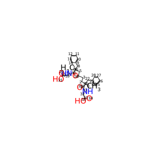 C[C@@](CCCC[C@](C)(Cc1ccccc1)C(=O)NCC(=O)O)(Cc1ccccc1)C(=O)NCC(=O)O